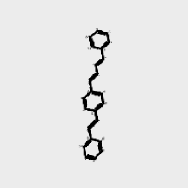 C(C=Cc1ccc(C=Cc2ccccc2)cc1)=Cc1ccccc1